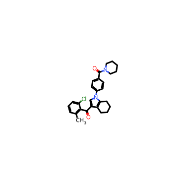 Cc1cccc(Cl)c1C(=O)c1cn(-c2ccc(C(=O)N3CCCCC3)cc2)c2c1CCCC2